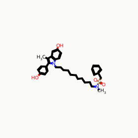 Cc1c(-c2ccc(O)cc2)n(CCCCCCCCCCCN(C)S(=O)(=O)Cc2ccccc2)c2ccc(O)cc12